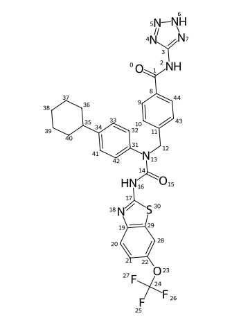 O=C(Nc1nn[nH]n1)c1ccc(CN(C(=O)Nc2nc3ccc(OC(F)(F)F)cc3s2)c2ccc(C3CCCCC3)cc2)cc1